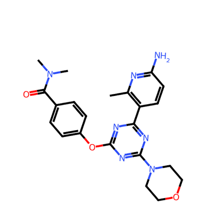 Cc1nc(N)ccc1-c1nc(Oc2ccc(C(=O)N(C)C)cc2)nc(N2CCOCC2)n1